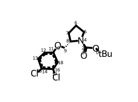 CC(C)(C)OC(=O)N1CCC[C@H]1COc1ccc(Cl)c(Cl)c1